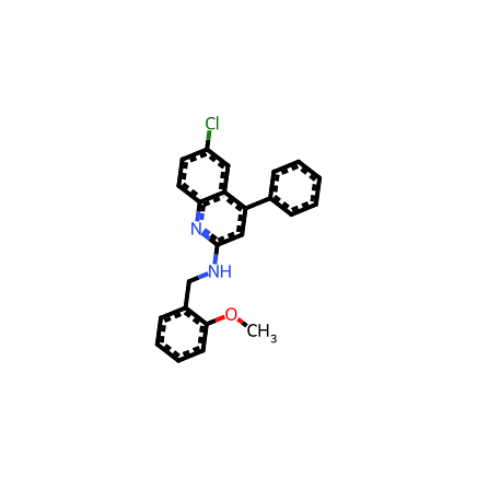 COc1ccccc1CNc1cc(-c2ccccc2)c2cc(Cl)ccc2n1